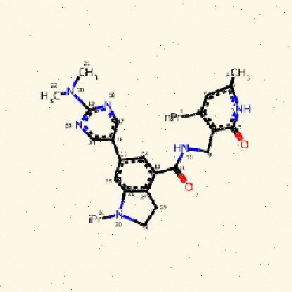 CCCc1cc(C)[nH]c(=O)c1CNC(=O)c1cc(-c2cnc(N(C)C)nc2)cc2c1CCN2C(C)C